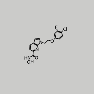 O=C(NO)c1ccc2ccn(CCOc3ccc(Cl)c(F)c3)c2n1